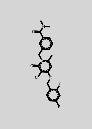 Cc1cc(OCc2ccc(F)cc2F)c(Cl)c(=O)n1Cc1cccc(C(=O)N(C)C)c1